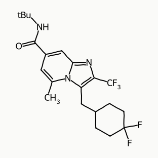 Cc1cc(C(=O)NC(C)(C)C)cc2nc(C(F)(F)F)c(CC3CCC(F)(F)CC3)n12